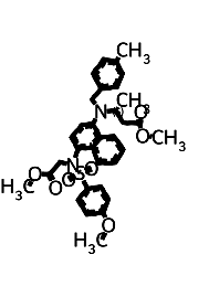 COC(=O)C[C@H](C)N(Cc1ccc(C)cc1)c1ccc(N(CC(=O)OC)S(=O)(=O)c2ccc(OC)cc2)c2ccccc12